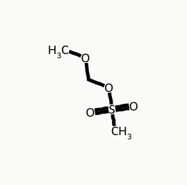 COCOS(C)(=O)=O